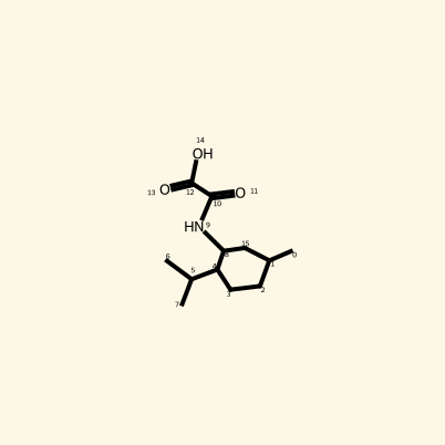 CC1CCC(C(C)C)C(NC(=O)C(=O)O)C1